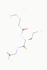 COC(=O)CNC(=O)[C@H](CCS)NC(=O)CC[C@H](N)C(=O)O